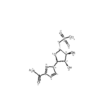 NC(=O)c1ncn(C2O[C@H](CS(=O)(=O)C(Cl)(Cl)Cl)[C@@H](O)[C@H]2O)n1